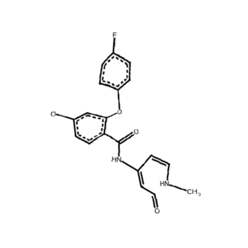 CN/C=C\C(=C/C=O)NC(=O)c1ccc(Cl)cc1Oc1ccc(F)cc1